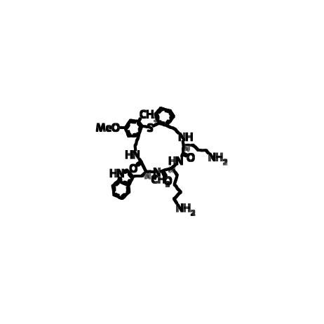 COc1cc(C)c2c(c1)CNC(=O)[C@H](Cc1c[nH]c3ccccc13)N(C)C(=O)[C@H](CCCCN)NC(=O)[C@H](CCCN)NCc1ccccc1S2